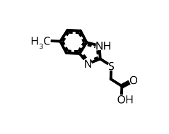 Cc1ccc2[nH]c(SCC(=O)O)nc2c1